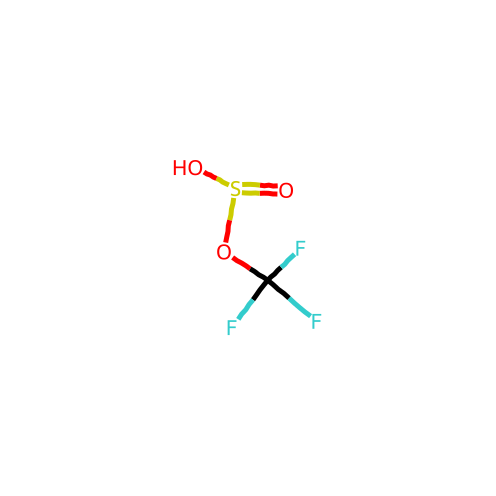 O=S(O)OC(F)(F)F